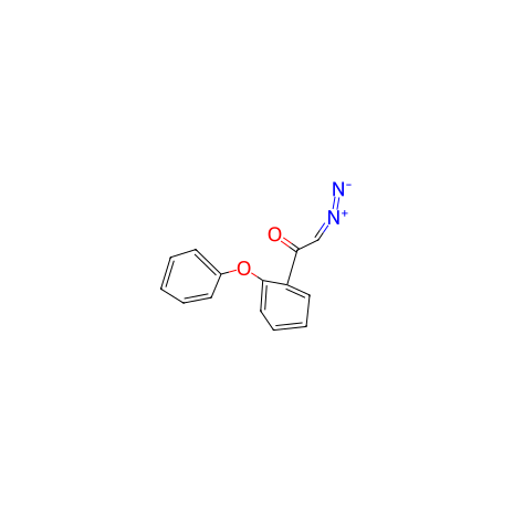 [N-]=[N+]=CC(=O)c1ccccc1Oc1ccccc1